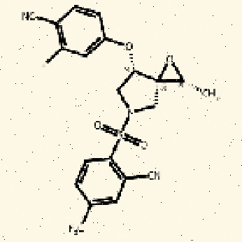 C[C@H]1O[C@@]12CN(S(=O)(=O)c1ccc(C(F)(F)F)cc1C#N)C[C@@H]2Oc1ccc(C#N)c(F)c1